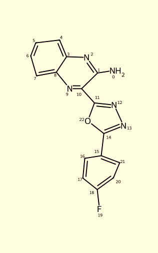 Nc1nc2ccccc2nc1-c1nnc(-c2ccc(F)cc2)o1